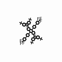 CC(C)(C)c1ccc2c(c1)c1cc(C(C)(C)C)ccc1n2-c1ccc2c(-c3ccc(-c4ccc(C(F)(F)F)cc4)cc3)c3cc(-n4c5ccc(C(C)(C)C)cc5c5cc(C(C)(C)C)ccc54)ccc3c(-c3ccc(-c4ccc(C(F)(F)F)cc4)cc3)c2c1